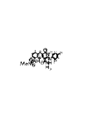 CNS(=O)(=O)Nc1cccc(Cc2cc(C(N)=O)c(Nc3ccc(I)cc3F)n(C)c2=O)c1F